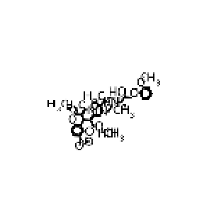 CCOC(=O)C1=C(C)NC(CN(CC(C)(C)NCC(O)COc2ccccc2OC)C(=O)C(C)C)=C(C(=O)OCC)C1c1cccc([N+](=O)[O-])c1.Cl